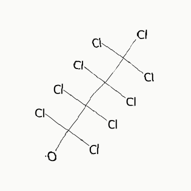 [O]C(Cl)(Cl)C(Cl)(Cl)C(Cl)(Cl)C(Cl)(Cl)Cl